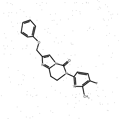 Cc1nc(N2CCc3nc(COc4ccccc4)cn3C2=O)ccc1F